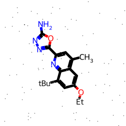 CCOc1cc(C(C)(C)C)c2nc(-c3nnc(N)o3)cc(C)c2c1